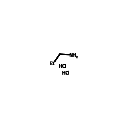 CCCN.Cl.Cl